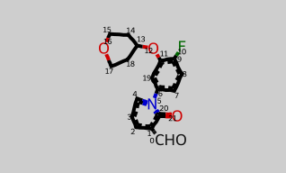 O=Cc1cccn(-c2ccc(F)c(OC3CCOCC3)c2)c1=O